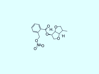 CC1CO[C@H]2[C@@H]1OC[C@H]2OC(=O)c1ccccc1CO[N+](=O)[O-]